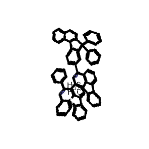 CC1(C)c2ccccc2-c2cccc(/C(=C\c3ccc4c(sc5ccccc54)c3/C(=C\c3ccccc3)c3ccccc3)c3ccc4c(c3)C(c3ccccc3)(c3ccccc3)c3ccc5ccccc5c3-4)c21